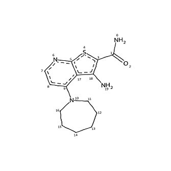 NC(=O)c1sc2nccc(N3CCCCCC3)c2c1N